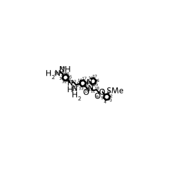 CSc1ccccc1OC(=O)CCN(C(=O)c1cccc(C(N)CNc2ccc(C(=N)N)cc2)c1)c1ccccn1